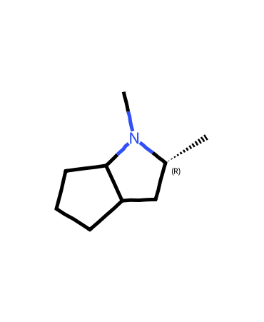 C[C@@H]1CC2CCCC2N1C